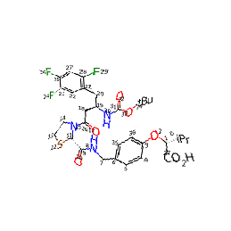 CC(C)[C@@H](Oc1ccc(CNC(=O)[C@@H]2SCCN2C(=O)C[C@@H](Cc2cc(F)c(F)cc2F)NC(=O)OC(C)(C)C)cc1)C(=O)O